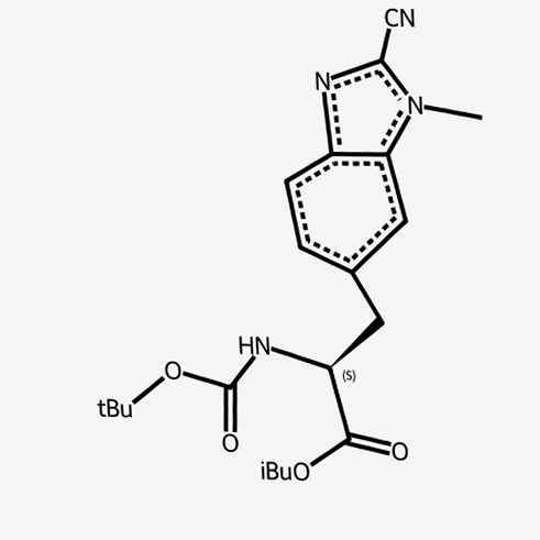 CC(C)COC(=O)[C@H](Cc1ccc2nc(C#N)n(C)c2c1)NC(=O)OC(C)(C)C